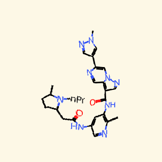 CCCN1C(C)CCC1CC(=O)Nc1cnc(C)c(NC(=O)c2cnn3cc(-c4cnn(C)c4)ncc23)c1